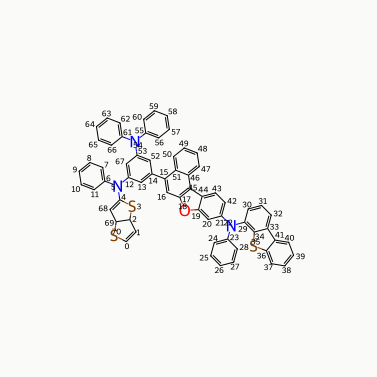 C1=CC2SC(N(c3ccccc3)c3cc(-c4cc5oc6cc(N(c7ccccc7)c7cccc8c7sc7ccccc78)ccc6c5c5ccccc45)cc(N(c4ccccc4)c4ccccc4)c3)=CC2S1